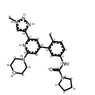 Cc1ccc(NC(=O)N2CCCC2)cc1-c1cc(-c2cn(C)nn2)nc(N2CCOCC2)c1